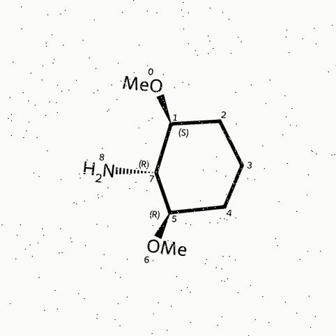 CO[C@H]1CCC[C@@H](OC)[C@@H]1N